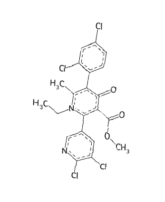 CCn1c(C)c(-c2ccc(Cl)cc2Cl)c(=O)c(C(=O)OC)c1-c1cnc(Cl)c(Cl)c1